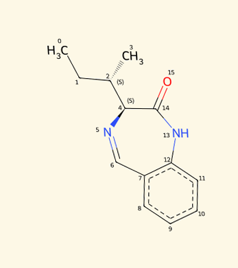 CC[C@H](C)[C@@H]1N=Cc2ccccc2NC1=O